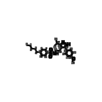 CCCCCc1ccc(S(=O)(=O)NCCc2c(C(C)C)n[nH]c2-c2ccc(OC)cc2)cc1